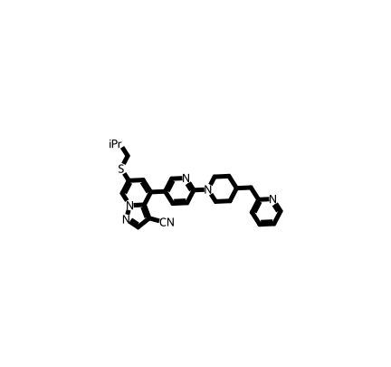 CC(C)CSc1cc(-c2ccc(N3CCC(Cc4ccccn4)CC3)nc2)c2c(C#N)cnn2c1